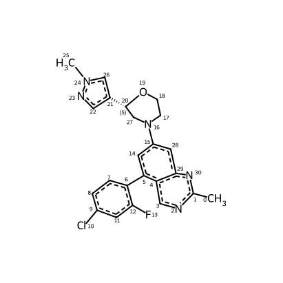 Cc1ncc2c(-c3ccc(Cl)cc3F)cc(N3CCO[C@@H](c4cnn(C)c4)C3)cc2n1